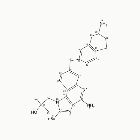 CCCCc1nc2c(N)nc3cc(Cc4ccc5c(c4)CC(N)CC5)ccc3c2n1CC(C)(C)O